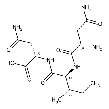 CC[C@H](C)[C@H](NC(=O)[C@@H](N)CC(N)=O)C(=O)N[C@@H](CC(N)=O)C(=O)O